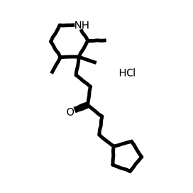 CC1CCNC(C)C1(C)CCC(=O)CCC1CCCC1.Cl